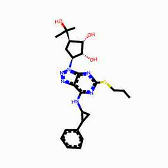 CCCSc1nc(NC2CC2c2ccccc2)c2nnn([C@H]3C[C@@H](C(C)(C)O)[C@H](O)[C@@H]3O)c2n1